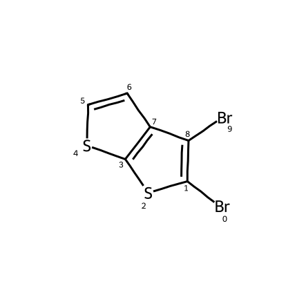 Brc1sc2sccc2c1Br